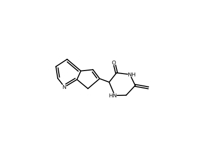 C=C1CNC(C2=Cc3cccnc3C2)C(=O)N1